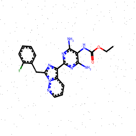 CCOC(=O)Nc1c(N)nc(-c2nc(Cc3ccccc3F)n3ncccc23)nc1N